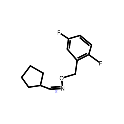 Fc1ccc(F)c(CO/N=[C]\C2CCCC2)c1